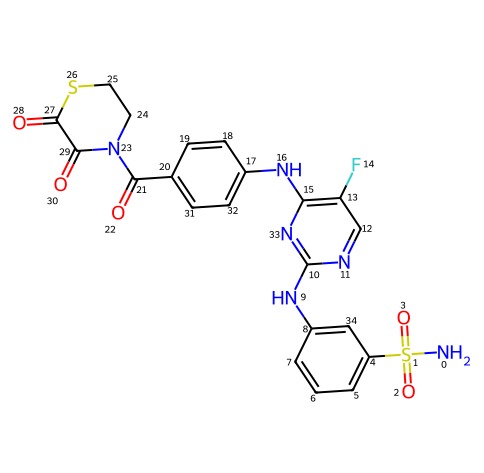 NS(=O)(=O)c1cccc(Nc2ncc(F)c(Nc3ccc(C(=O)N4CCSC(=O)C4=O)cc3)n2)c1